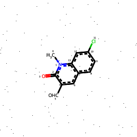 Cn1c(=O)c(C=O)cc2ccc(Cl)cc21